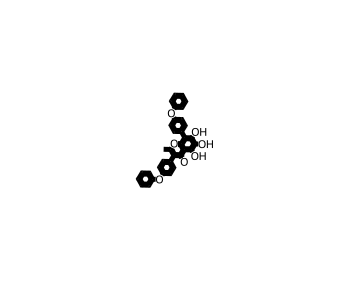 Cc1oc2c(-c3ccc(Oc4ccccc4)cc3)c(O)c(O)c(O)c2c(=O)c1-c1ccc(Oc2ccccc2)cc1